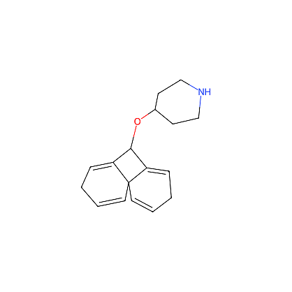 C1=CC23C=CCC=C2C(OC2CCNCC2)C3=CC1